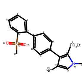 CCOC(=O)c1c(-c2ccc(-c3ccccc3S(C)(=O)=O)cc2)c(C#N)cn1C